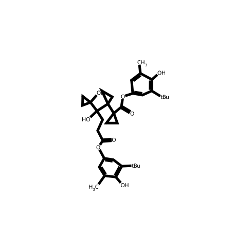 Cc1cc(OC(=O)CCC(O)(C2(O)CC2)C2(C3(C(=O)Oc4cc(C)c(O)c(C(C)(C)C)c4)CC3)CC2)cc(C(C)(C)C)c1O